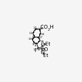 CCOP(=O)(OCC)[C@@H](F)c1ccc2ccc(C(=O)O)cc2c1